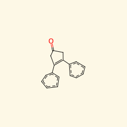 O=C1CC(c2ccccc2)=C(c2ccccc2)C1